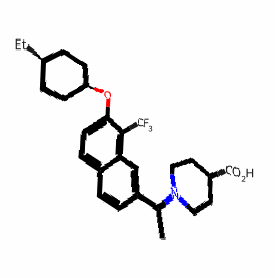 CC[C@H]1CC[C@@H](Oc2ccc3ccc(C(C)N4CCC(C(=O)O)CC4)cc3c2C(F)(F)F)CC1